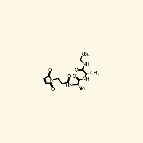 CC(C)[C@H](NC(=O)CCN1C(=O)C=CC1=O)C(=O)N[C@@H](C)C(=O)NCC(C)(C)C